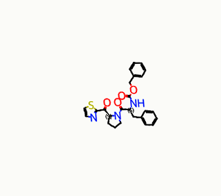 O=C(N[C@@H](Cc1ccccc1)C(=O)N1CCC[C@H]1C(=O)c1nccs1)OCc1ccccc1